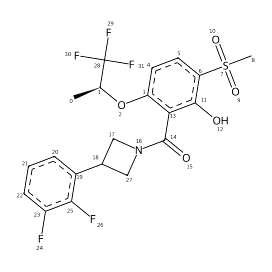 C[C@H](Oc1ccc(S(C)(=O)=O)c(O)c1C(=O)N1CC(c2cccc(F)c2F)C1)C(F)(F)F